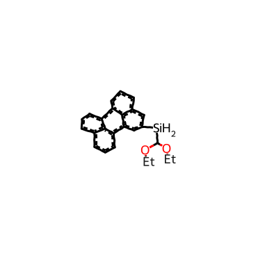 CCOC(OCC)[SiH2]c1cc2cccc3c4cccc5cccc(c(c1)c23)c54